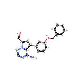 Nc1ncnn2c(C=O)cc(-c3cccc(OCc4ccccc4)c3)c12